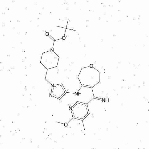 COc1ncc(C(=N)C2=C(Nc3cnn(CC4CCN(C(=O)OC(C)(C)C)CC4)c3)CCOCC2)cc1C